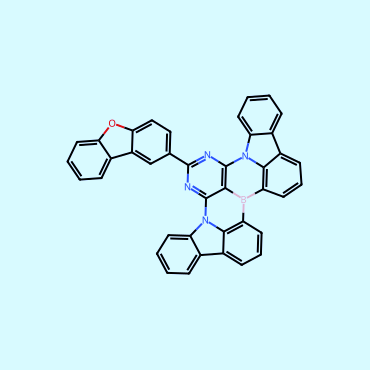 c1ccc2c(c1)oc1ccc(-c3nc4c5c(n3)-n3c6ccccc6c6cccc(c63)B5c3cccc5c6ccccc6n-4c35)cc12